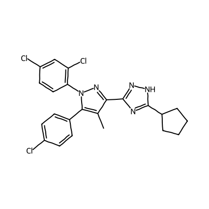 Cc1c(-c2n[nH]c(C3CCCC3)n2)nn(-c2ccc(Cl)cc2Cl)c1-c1ccc(Cl)cc1